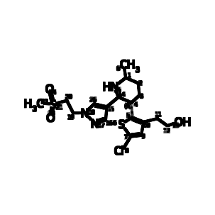 CC1CC[C@H](c2sc(Cl)cc2CCO)C(c2cnn(CCS(C)(=O)=O)c2)N1